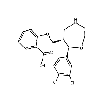 O=C(O)c1ccccc1OC[C@H]1CNCCO[C@H]1c1ccc(Cl)c(Cl)c1